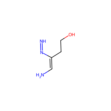 N=N/C(=C\N)CCO